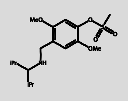 COc1cc(OS(C)(=O)=O)c(OC)cc1CNC(C(C)C)C(C)C